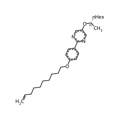 C=CCCCCCCCCOc1ccc(-c2ncc(O[C@@H](C)CCCCCC)cn2)cc1